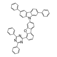 c1ccc(-c2ccc3c(c2)c2ccc(-c4ccccc4)cc2n3-c2ccc3c(c2)oc2c(-c4nc(-c5ccccc5)nc(-c5ccccc5)n4)cccc23)cc1